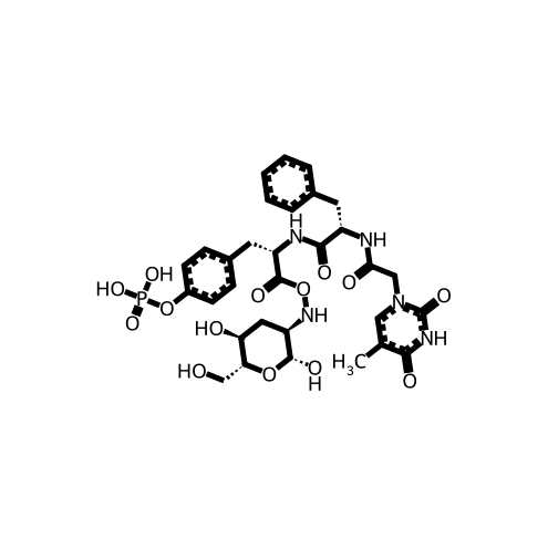 Cc1cn(CC(=O)N[C@@H](Cc2ccccc2)C(=O)N[C@@H](Cc2ccc(OP(=O)(O)O)cc2)C(=O)ON[C@@H]2C[C@H](O)[C@@H](CO)O[C@H]2O)c(=O)[nH]c1=O